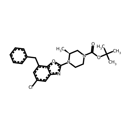 C[C@H]1CN(C(=O)OC(C)(C)C)CCN1c1nc2cc(Cl)cc(Cc3ccccc3)c2o1